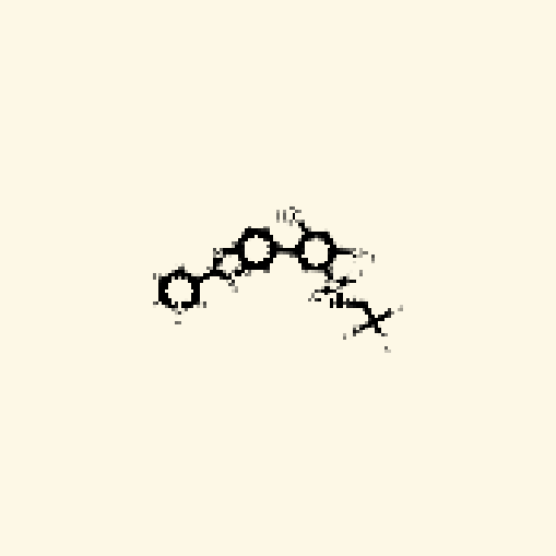 Cc1cc(C)c(S(=O)(=O)NCC(F)(F)F)cc1-c1ccc2nc(-c3cccnc3)sc2c1